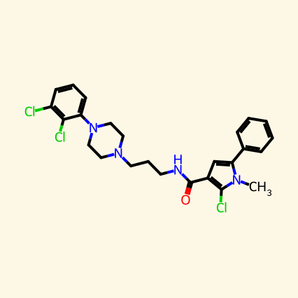 Cn1c(-c2ccccc2)cc(C(=O)NCCCN2CCN(c3cccc(Cl)c3Cl)CC2)c1Cl